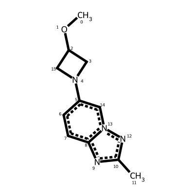 COC1CN(c2ccc3nc(C)nn3c2)C1